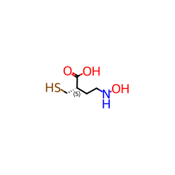 O=C(O)[C@@H](CS)CCNO